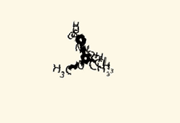 CCCCOc1cc(-n2nc3ccc([SH](=O)=O)cc3n2)c(O)c(C(C)(C)C)c1